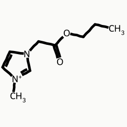 CCCOC(=O)Cn1cc[n+](C)c1